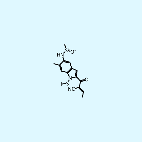 C/C=C(\C#N)C(=O)c1cc2cc(N[S+](C)[O-])c(C)cc2n1SI